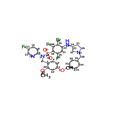 COc1ccc(CN(c2ccc(F)cn2)S(=O)(=O)c2c(F)cc(N[C@H]3CCN(Cc4ccccc4)C3)c(Br)c2F)c(OC)c1